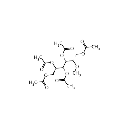 CO[C@@H](COC(C)=O)[C@@H](OC(C)=O)[C@H](OC(C)=O)[C@@H](COC(C)=O)OC(C)=O